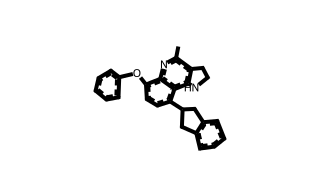 Cc1nc2c(Oc3ccccc3)ccc(C3Cc4ccccc4C3)c2c2c1CCN2